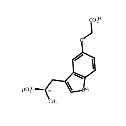 C[C@H](Cc1c[nH]c2ccc(OCC(=O)O)cc12)C(=O)O